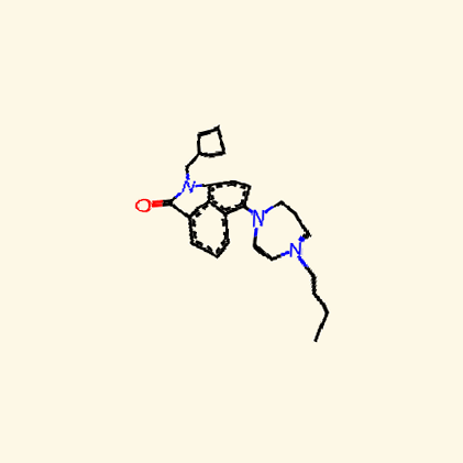 CCCCN1CCCN(c2ccc3c4c(cccc24)C(=O)N3CC2CCC2)CC1